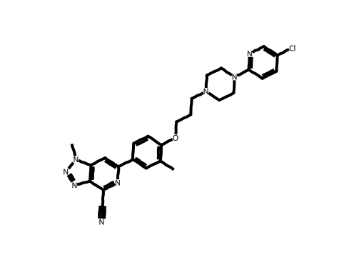 Cc1cc(-c2cc3c(nnn3C)c(C#N)n2)ccc1OCCCN1CCN(c2ccc(Cl)cn2)CC1